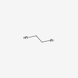 CCCCC[C](C)C